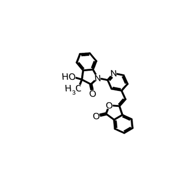 CC1(O)C(=O)N(c2cc(C=C3OC(=O)c4ccccc43)ccn2)c2ccccc21